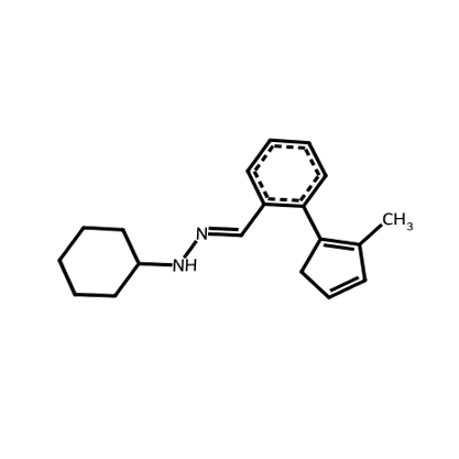 CC1=C(c2ccccc2/C=N/NC2CCCCC2)CC=C1